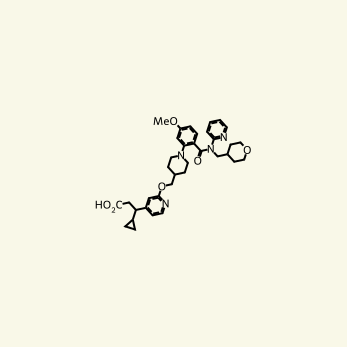 COc1ccc(C(=O)N(CC2CCOCC2)c2ccccn2)c(N2CCC(COc3cc(C(CC(=O)O)C4CC4)ccn3)CC2)c1